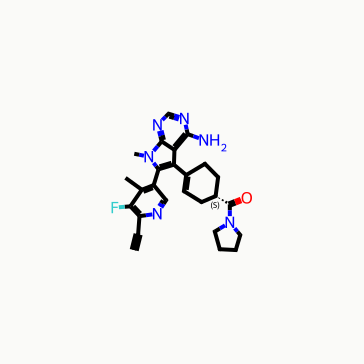 C#Cc1ncc(-c2c(C3=CC[C@@H](C(=O)N4CCCC4)CC3)c3c(N)ncnc3n2C)c(C)c1F